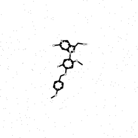 COc1ccc(COc2cc(OC)c(-n3nc(CO)c4cnc(Cl)cc43)cc2F)cc1